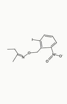 CCC(C)=NOCc1c(I)cccc1[N+](=O)[O-]